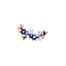 COC(=O)c1cc2nc(-c3cc4ccc([C@@H](C)NC(=O)OC(C)(C)C)nc4[nH]3)n(CC(F)F)c2cc1F